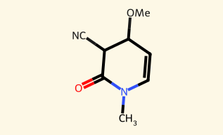 COC1C=CN(C)C(=O)C1C#N